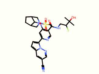 CC(C)(O)C(F)CNC(=O)c1cnc(-c2ccc3cc(C#N)cnn23)cc1NC1C2CCC1CN(S(C)(=O)=O)C2